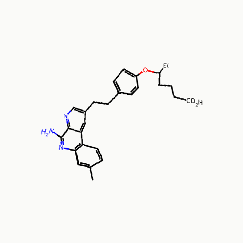 CCC(CCCC(=O)O)Oc1ccc(CCc2cnc3c(N)nc4cc(C)ccc4c3c2)cc1